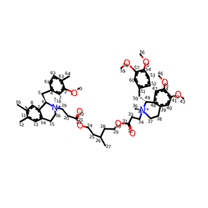 COc1cc(C[C@@H]2c3cc(C)c(C)cc3CC[N@+]2(C)CCC(=O)OCCC(C)CCOC(=O)CC[N@@+]2(C)CCc3cc(OC)c(OC)cc3[C@H]2Cc2ccc(OC)c(OC)c2)ccc1C